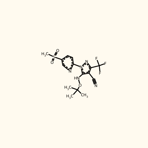 CC(C)(C)ONc1c(C#N)c(C(F)(F)F)nn1-c1ccc(S(C)(=O)=O)cn1